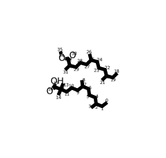 CCC(C)CCCC(C)CCCC(C)(C)C(=O)O.CCC(C)CCCC(C)CCCC(C)C(=O)OC